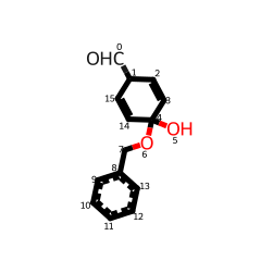 O=CC1C=CC(O)(OCc2ccccc2)C=C1